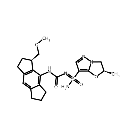 COC[C@@H]1CCc2cc3c(c(NC(=O)N=S(N)(=O)c4cnn5c4O[C@H](C)C5)c21)CCC3